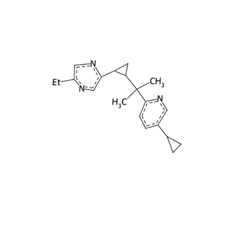 CCc1cnc(C2CC2C(C)(C)c2ccc(C3CC3)cn2)cn1